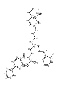 Cc1ncccc1OCCN(CCCCc1ccc2c(n1)NCCC2)CCC(Nc1ccc(-c2ccccc2)cn1)C(=O)O